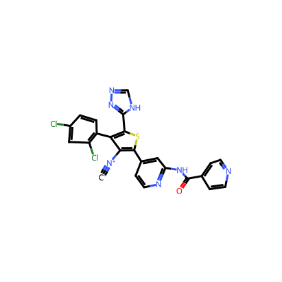 [C-]#[N+]c1c(-c2ccnc(NC(=O)c3ccncc3)c2)sc(-c2nnc[nH]2)c1-c1ccc(Cl)cc1Cl